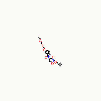 C[Si](C)(C)CCOCN1C(=O)CCC(N2Cc3ccc(OCCOCCOCCI)cc3C2=O)C1=O